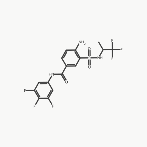 CC(NS(=O)(=O)c1cc(C(=O)Nc2cc(F)c(F)c(F)c2)ccc1N)C(F)(F)F